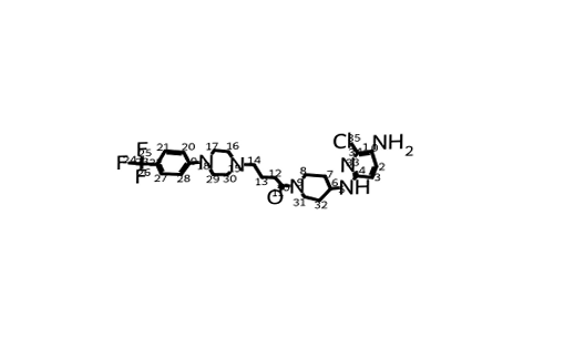 Nc1ccc(NC2CCN(C(=O)CCCN3CCN(c4ccc(C(F)(F)F)cc4)CC3)CC2)nc1Cl